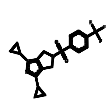 O=S(=O)(c1ccc(C(F)(F)F)cc1)N1Cc2c(C3CC3)nn(C3CC3)c2C1